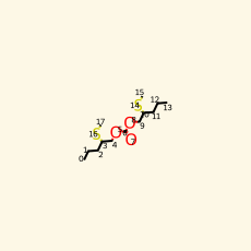 CCCC(COC(=O)OCC(CCC)SC)SC